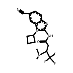 CN(C)C(CC(=O)Nc1nc2ccc(C#N)cc2n1C1CCC1)C(F)(F)F